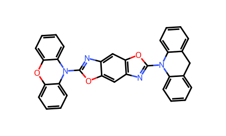 c1ccc2c(c1)Cc1ccccc1N2c1nc2cc3oc(N4c5ccccc5Oc5ccccc54)nc3cc2o1